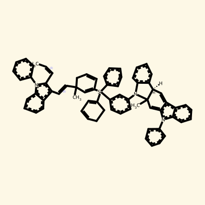 C/C=C\c1c(/C=C/C2(C)C=C([Si](C3=CC=CCC3)(c3ccccc3)c3cccc(N4c5ccccc5[C@H]5C=c6c(n(-c7ccccc7)c7ccccc67)=CC54C)c3)C=CC2)c2ccccc2n1-c1ccccc1